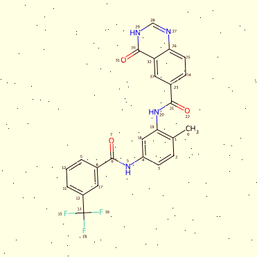 Cc1ccc(NC(=O)c2cccc(C(F)(F)F)c2)cc1NC(=O)c1ccc2nc[nH]c(=O)c2c1